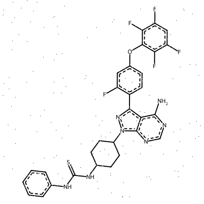 Nc1ncnc2c1c(-c1ccc(Oc3c(F)c(F)cc(F)c3F)cc1F)nn2C1CCC(NC(=S)Nc2ccccc2)CC1